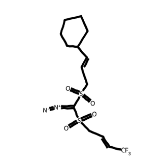 [N-]=[N+]=C(S(=O)(=O)CC=CC1CCCCC1)S(=O)(=O)CC=CC(F)(F)F